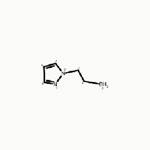 BCCn1cccn1